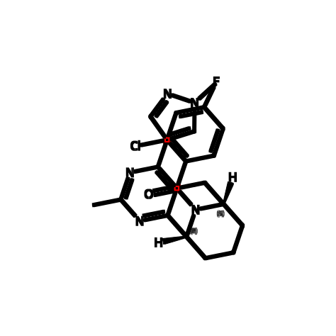 Cc1nc(-c2cnn(C)c2)c2c(n1)[C@H]1CCC[C@@H](C2)N1C(=O)c1ccc(F)cc1Cl